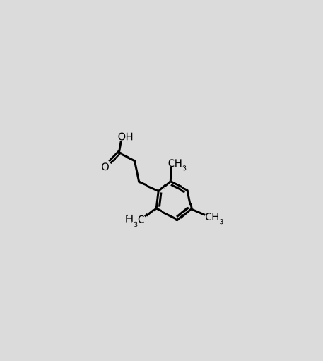 Cc1cc(C)c(CCC(=O)O)c(C)c1